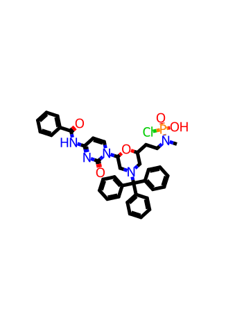 CN(CCC1CN(C(c2ccccc2)(c2ccccc2)c2ccccc2)CC(n2ccc(NC(=O)c3ccccc3)nc2=O)O1)P(=O)(O)Cl